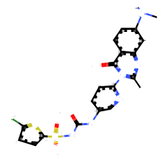 Cc1nc2cc(N(C)C)ccc2c(=O)n1-c1ccc(NC(=O)NS(=O)(=O)c2ccc(Cl)s2)cn1